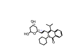 CC(C)c1c(/C=C/[C@@H]2C[C@@H](O)CC(O)O2)n(C2CCCCC2)c(=O)c2ccccc12